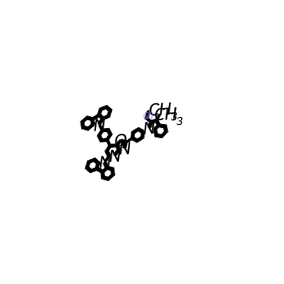 C/C=C\c1c(C)c2ccccc2n1-c1ccc(-c2nc3nc(-n4c5ccccc5c5ccccc54)cc(-c4ccc(-n5c6ccccc6c6ccccc65)cc4)c3o2)cc1